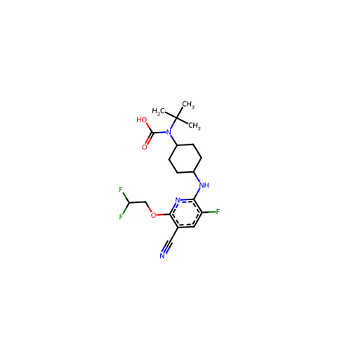 CC(C)(C)N(C(=O)O)C1CCC(Nc2nc(OCC(F)F)c(C#N)cc2F)CC1